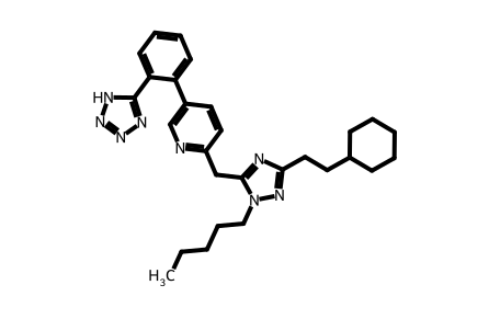 CCCCCn1nc(CCC2CCCCC2)nc1Cc1ccc(-c2ccccc2-c2nnn[nH]2)cn1